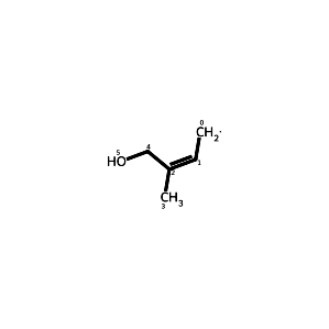 [CH2]C=C(C)CO